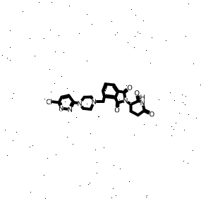 O=C1CCC(N2C(=O)c3cccc(CN4CCN(c5ccc(Cl)nn5)CC4)c3C2=O)C(=O)N1